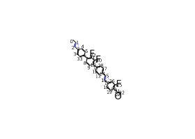 C/C=C/c1ccc(-c2ccc(-c3ccc(/C=C/c4ccc(C5CO5)c(F)c4)cc3)c(F)c2F)cc1